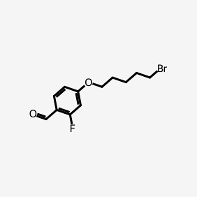 O=Cc1ccc(OCCCCCBr)cc1F